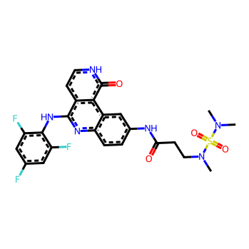 CN(C)S(=O)(=O)N(C)CCC(=O)Nc1ccc2nc(Nc3c(F)cc(F)cc3F)c3cc[nH]c(=O)c3c2c1